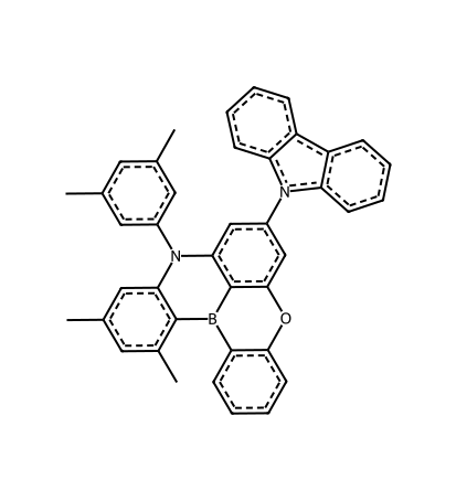 Cc1cc(C)cc(N2c3cc(C)cc(C)c3B3c4ccccc4Oc4cc(-n5c6ccccc6c6ccccc65)cc2c43)c1